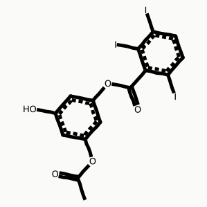 CC(=O)Oc1cc(O)cc(OC(=O)c2c(I)ccc(I)c2I)c1